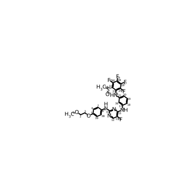 COCCOc1ccc(Nc2ncc(F)c(Nc3cccc(Nc4c(F)c(F)c(F)c(F)c4[S+](C)[O-])c3)n2)cc1